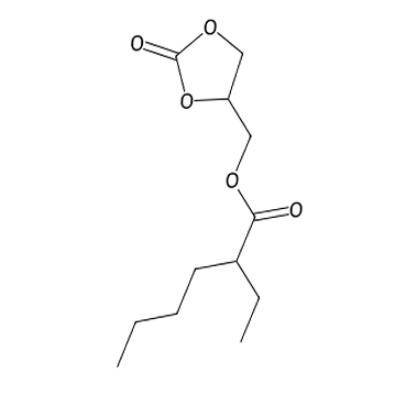 CCCCC(CC)C(=O)OCC1COC(=O)O1